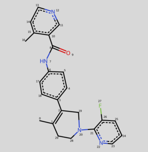 CC1=C(c2ccc(NC(=O)c3cnccc3C)cc2)CN(c2ncccc2F)CC1